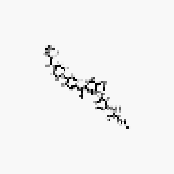 C=CC(=O)Nc1cccc(-n2cnc3cnc(Nc4ccc(N5CCN(CCOC)CC5)cc4)nc32)c1